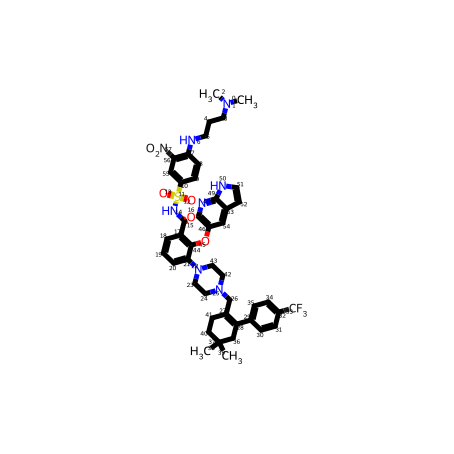 CN(C)CCCNc1ccc(S(=O)(=O)NC(=O)c2cccc(N3CCN(CC4=C(c5ccc(C(F)(F)F)cc5)CC(C)(C)CC4)CC3)c2Oc2cnc3[nH]ccc3c2)cc1[N+](=O)[O-]